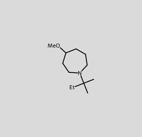 CCC(C)(C)N1CCCC(OC)CC1